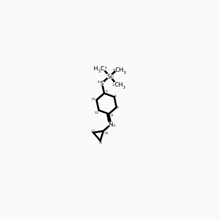 C[Si](C)(C)SC1CCC(=NC2CC2)CC1